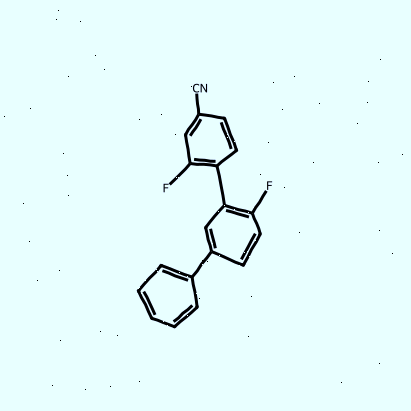 N#Cc1ccc(-c2cc(-c3ccccc3)ccc2F)c(F)c1